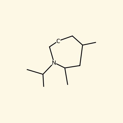 CC1CCCN(C(C)C)C(C)C1